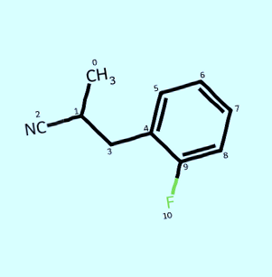 CC(C#N)Cc1ccccc1F